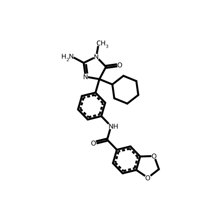 CN1C(=O)C(c2cccc(NC(=O)c3ccc4c(c3)OCO4)c2)(C2CCCCC2)N=C1N